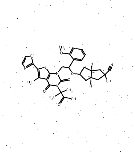 COc1ccccc1C(Cn1c(=O)n(C(C)(C)C(=O)O)c(=O)c2c(C)c(-c3ncco3)sc21)OC1C[C@@H]2CC(O)(C#N)C[C@@H]2C1